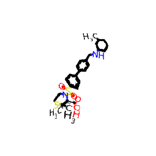 CC1CCCC(NCc2ccc(-c3ccc(S(=O)(=O)N4CCSC(C)(C)[C@@H]4C(=O)O)cc3)cc2)C1